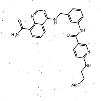 COCCNc1ccc(C(=O)Nc2cccc(CNc3ncnc4c(C(N)=O)cccc34)c2)cn1